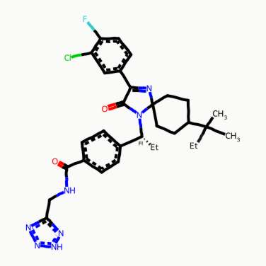 CC[C@H](c1ccc(C(=O)NCc2nn[nH]n2)cc1)N1C(=O)C(c2ccc(F)c(Cl)c2)=NC12CCC(C(C)(C)CC)CC2